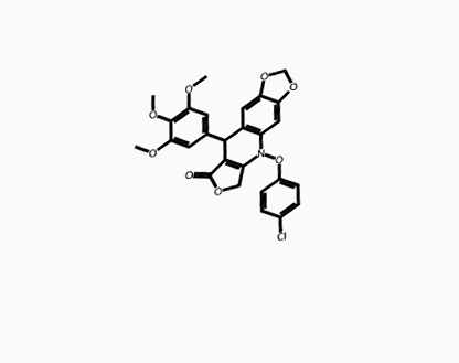 COc1cc(C2C3=C(COC3=O)N(Oc3ccc(Cl)cc3)c3cc4c(cc32)OCO4)cc(OC)c1OC